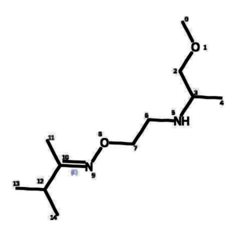 COCC(C)NCCO/N=C(\C)C(C)C